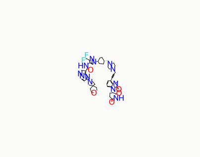 Cn1c(=O)n(C2CCC(=O)NC2=O)c2cccc(C#CCN3CCN(C[C@H]4CC[C@H](n5cc(NC(=O)c6cnn7ccc(N8CCC9(CCOCC9)C8)nc67)c(C(F)F)n5)CC4)CC3)c21